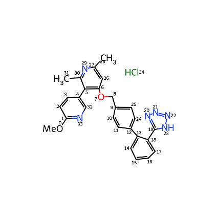 COc1ccc(-c2c(OCc3ccc(-c4ccccc4-c4nnn[nH]4)cc3)cc(C)nc2C)cn1.Cl